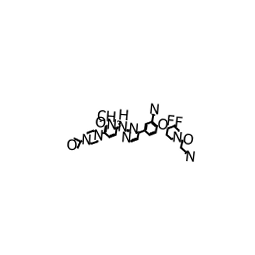 COc1nc(Nc2nccc(-c3ccc(OC4CCN(C(=O)CC#N)CC4(F)F)c(C#N)c3)n2)ccc1N1CCN(C2COC2)CC1